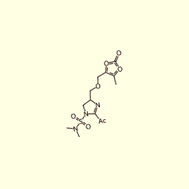 CC(=O)C1=NC(COCc2oc(=O)oc2C)CN1S(=O)(=O)N(C)C